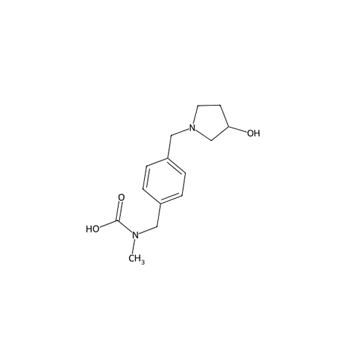 CN(Cc1ccc(CN2CCC(O)C2)cc1)C(=O)O